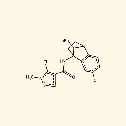 CCCCC1C2CCC1(NC(=O)c1cnn(C)c1Cl)c1cc(F)ccc12